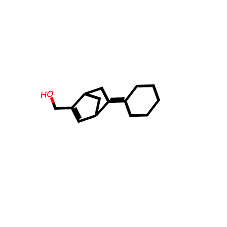 OCC1=CC2CC1CC2=C1CCCCC1